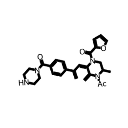 C=C(/C=C1\C(=C)N(C(C)=O)C(C)CN1C(=O)c1ccco1)c1ccc(C(=O)N2CCNCC2)cc1